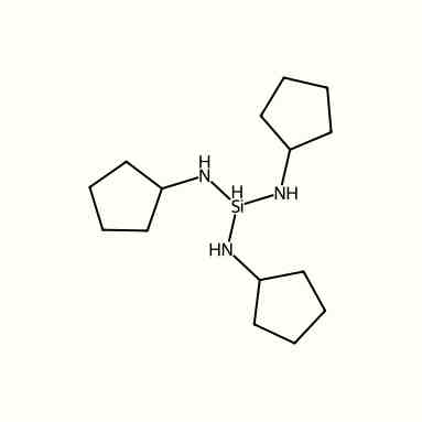 C1CCC(N[SiH](NC2CCCC2)NC2CCCC2)C1